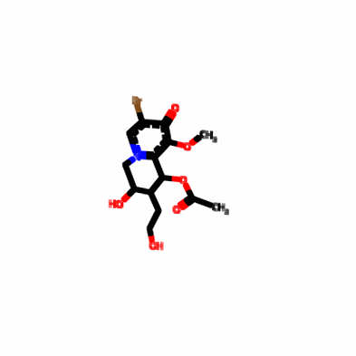 COc1c2n(cc(Br)c1=O)CC(O)C(CCO)C2OC(C)=O